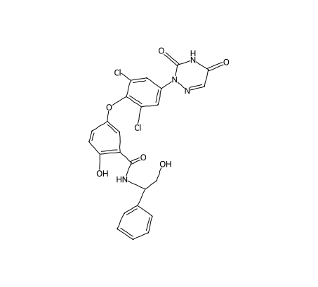 O=C(NC(CO)c1ccccc1)c1cc(Oc2c(Cl)cc(-n3ncc(=O)[nH]c3=O)cc2Cl)ccc1O